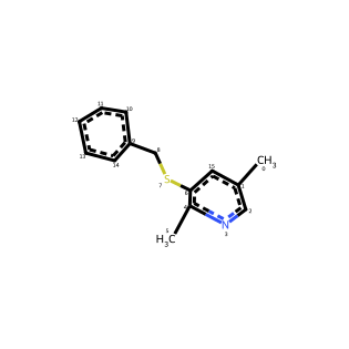 Cc1cnc(C)c(SCc2ccccc2)c1